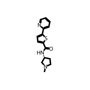 CN1CC[C@@H](NC(=O)c2ccc(-c3ccccn3)s2)C1